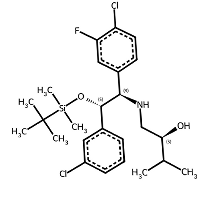 CC(C)[C@H](O)CN[C@H](c1ccc(Cl)c(F)c1)[C@@H](O[Si](C)(C)C(C)(C)C)c1cccc(Cl)c1